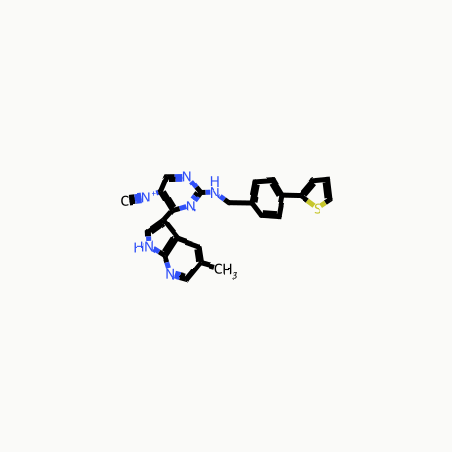 [C-]#[N+]c1cnc(NCc2ccc(-c3cccs3)cc2)nc1-c1c[nH]c2ncc(C)cc12